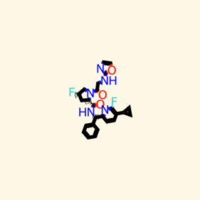 O=C(N[C@@H](c1ccccc1)c1ccc(C2CC2)c(F)n1)[C@@H]1C[C@@H](F)CN1C(=O)CNc1ncco1